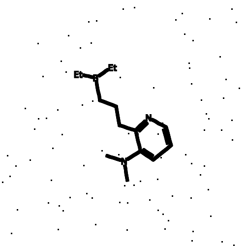 CCB(CC)CCCc1ncccc1N(C)C